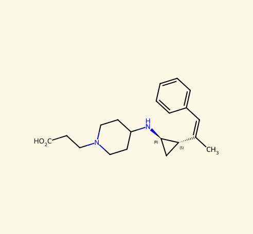 CC(=Cc1ccccc1)[C@@H]1C[C@H]1NC1CCN(CCC(=O)O)CC1